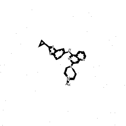 CC(=O)N1CCN(c2cc3ncccc3c(Nc3ccc4nc(C5CC5)sc4c3)n2)CC1